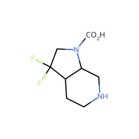 O=C(O)N1CC(F)(F)C2CCNCC21